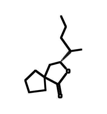 CCCC(C)[C@H]1CC2(CCCC2)C(=O)O1